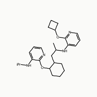 CC(C)Nc1cccnc1OC1CCCCC1CC(C)Nc1cccnc1OC1CCC1